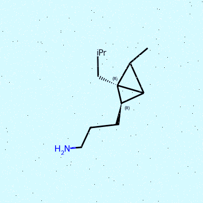 CC(C)C[C@]12C(C)C1[C@H]2CCCN